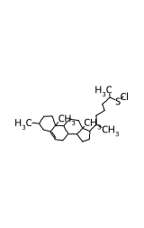 CC1CCC2(C)C(=CCC3C2CCC2(C)C(C(C)CCCC(C)SCl)CCC32)C1